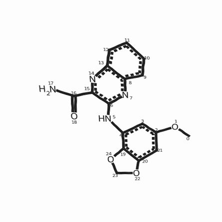 COc1cc(Nc2nc3ccccc3nc2C(N)=O)c2c(c1)OCO2